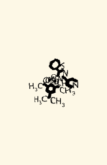 CC(C)c1cc(C(C)C)c(S(=O)(=O)Oc2nc(-c3ccncc3)nc3c2C2CCCCCC2S3)c(C(C)C)c1